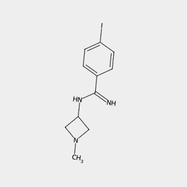 CN1CC(NC(=N)c2ccc(I)cc2)C1